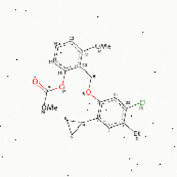 CCc1cc(C2CC2)c(OCc2c(OC)cccc2OC(=O)OC)cc1Cl